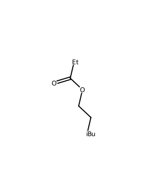 [CH2]CC(=O)OCCC(C)CC